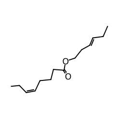 CCC=CCCOC(=O)CCC/C=C\CC